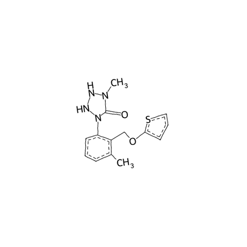 Cc1cccc(N2NNN(C)C2=O)c1COc1cccs1